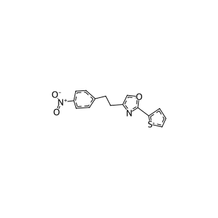 O=[N+]([O-])c1ccc(CCc2coc(-c3cccs3)n2)cc1